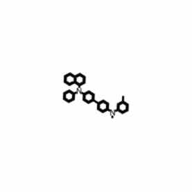 Cc1cccc(N(C)c2ccc(-c3ccc(N(c4ccccc4)c4cccc5ccccc45)cc3)cc2)c1